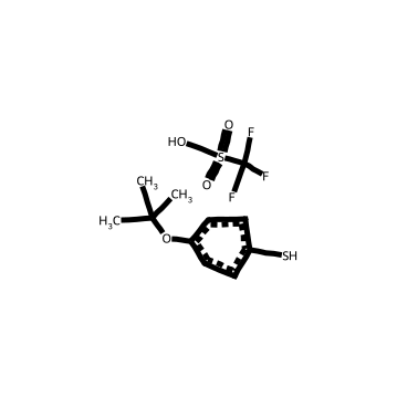 CC(C)(C)Oc1ccc(S)cc1.O=S(=O)(O)C(F)(F)F